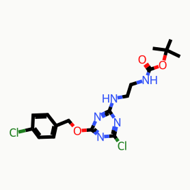 CC(C)(C)OC(=O)NCCNc1nc(Cl)nc(OCc2ccc(Cl)cc2)n1